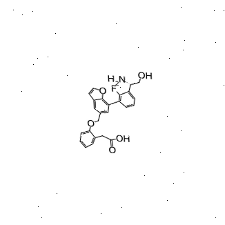 N[C@H](CO)c1cccc(-c2cc(COc3ccccc3CC(=O)O)cc3ccoc23)c1F